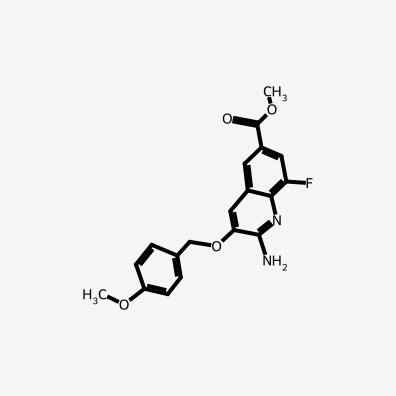 COC(=O)c1cc(F)c2nc(N)c(OCc3ccc(OC)cc3)cc2c1